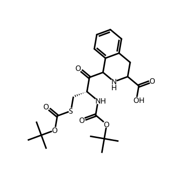 CC(C)(C)OC(=O)N[C@H](CSC(=O)OC(C)(C)C)C(=O)C1NC(C(=O)O)Cc2ccccc21